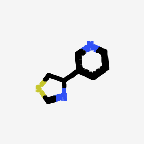 C1=NC(c2cccnc2)CS1